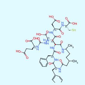 CC(CCC(C)NC(=O)CC[C@H](NC(=O)N[C@@H](CCC(=O)O)C(=O)O)C(=O)O)CC(=O)N[C@@H](Cc1ccccc1)C(=O)N[C@@H](Cc1ccccc1)C(=O)NC[C@H](N)C(=O)N[C@@H](CC(=O)O)C(=O)N[C@@H](CS)C(=O)O